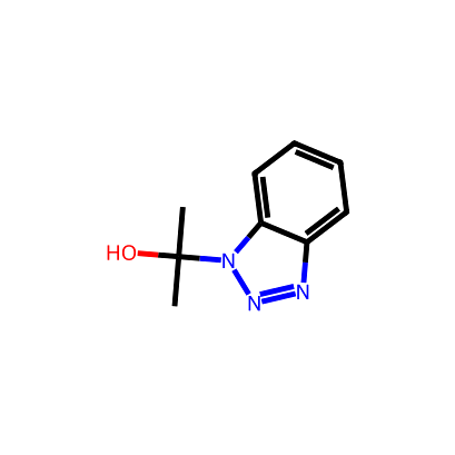 CC(C)(O)n1nnc2ccccc21